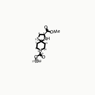 COC(=O)[C@@H]1CSC2(CCN(C(=O)OC(C)(C)C)CC2)N1